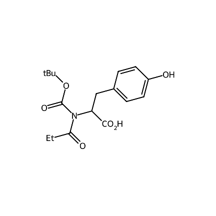 CCC(=O)N(C(=O)OC(C)(C)C)C(Cc1ccc(O)cc1)C(=O)O